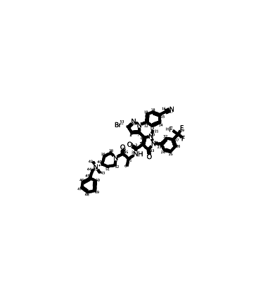 CC(NC(=O)c1c(-c2ccnn2-c2ccc(C#N)cc2)n(C)n(-c2cccc(C(F)(F)F)c2)c1=O)C(=O)N1CCC([N+](C)(C)Cc2ccccc2)CC1.[Br-]